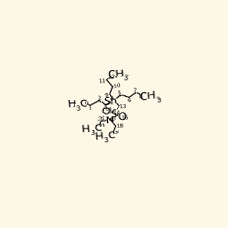 CCC[CH2][Sn]([CH2]CCC)([CH2]CCC)[CH2]S(=O)(=O)N(CC)CC